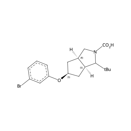 CC(C)(C)C1[C@H]2C[C@@H](Oc3cccc(Br)c3)C[C@H]2CN1C(=O)O